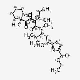 CCOC(=O)c1csc([C@H](O)C[C@H](C(C)C)N(C)C(=O)[C@@H](NC(=O)[C@@]2(C)CCCCN2C)[C@@H](C)CC)n1